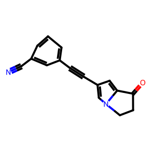 N#Cc1cccc(C#Cc2cc3n(c2)CCC3=O)c1